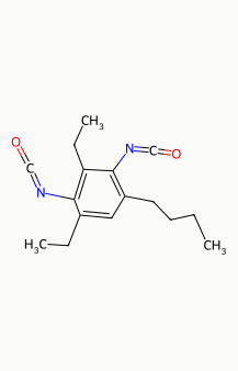 CCCCc1cc(CC)c(N=C=O)c(CC)c1N=C=O